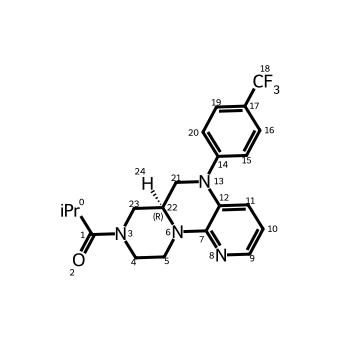 CC(C)C(=O)N1CCN2c3ncccc3N(c3ccc(C(F)(F)F)cc3)C[C@@H]2C1